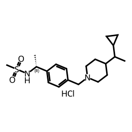 CC(C1CC1)C1CCN(Cc2ccc([C@@H](C)NS(C)(=O)=O)cc2)CC1.Cl